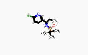 CC/C(=N\[S@+]([O-])C(C)(C)C)c1ccc(Br)nc1